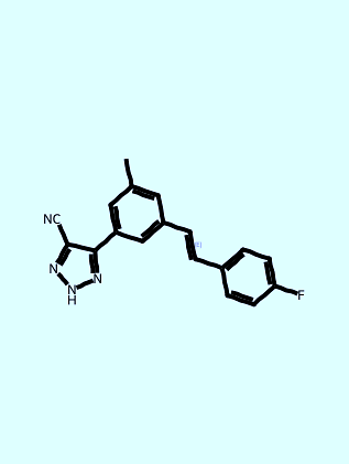 Cc1cc(/C=C/c2ccc(F)cc2)cc(-c2n[nH]nc2C#N)c1